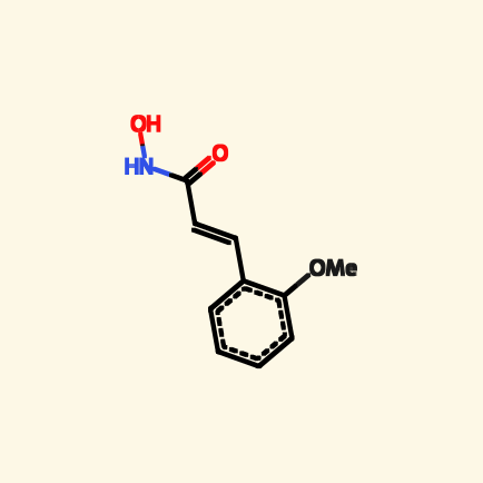 COc1ccccc1/C=C/C(=O)NO